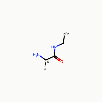 CCCCNC(=O)[C@H](C)N